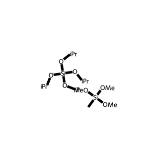 CC(C)O[Si](OC(C)C)(OC(C)C)OC(C)C.CO[Si](C)(OC)OC